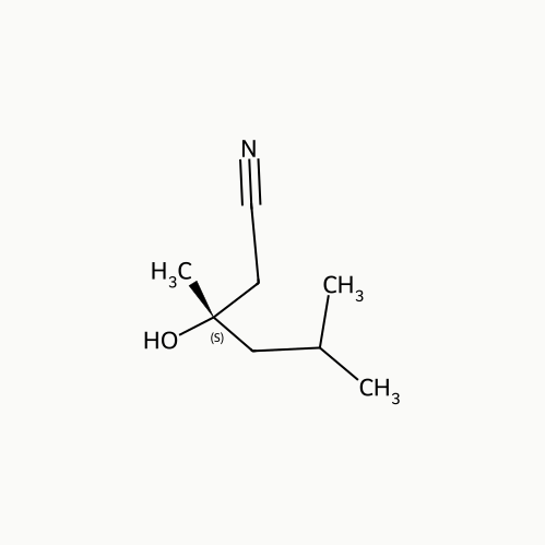 CC(C)C[C@](C)(O)CC#N